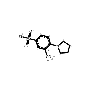 CCS(=O)(=O)c1ccc(N2CCCC2)c(C(=O)O)c1